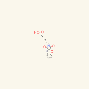 COc1ccccc1/C=C1\CC(=O)N(CCCCCCC(=O)O)C1=O